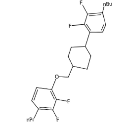 CCCCc1ccc(C2CCC(COc3ccc(CCC)c(F)c3F)CC2)c(F)c1F